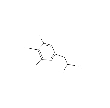 CCOC(=O)C(N)Cc1cc(F)c(F)c(F)c1